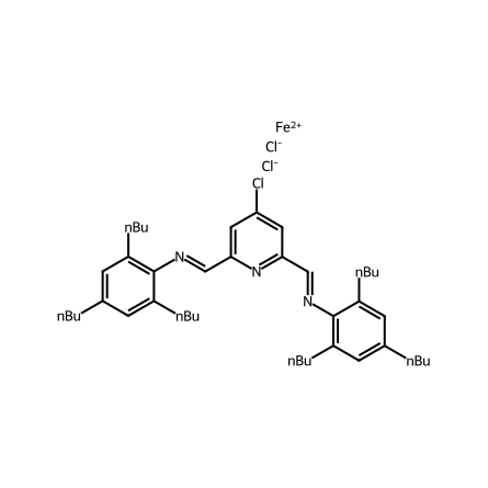 CCCCc1cc(CCCC)c(N=Cc2cc(Cl)cc(C=Nc3c(CCCC)cc(CCCC)cc3CCCC)n2)c(CCCC)c1.[Cl-].[Cl-].[Fe+2]